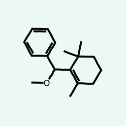 COC(C1=C(C)CCCC1(C)C)c1ccccc1